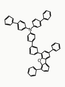 c1ccc(-c2ccc(N(c3ccc(-c4ccccc4)cc3)c3ccc(-c4cccc(-c5cc(-c6ccccc6)cc6c5oc5c(-c7ccccc7)cccc56)c4)cc3)cc2)cc1